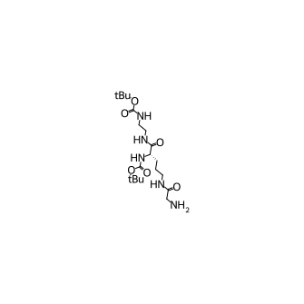 CC(C)(C)OC(=O)NCCNC(=O)[C@H](CCCNC(=O)CN)NC(=O)OC(C)(C)C